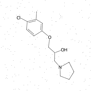 Cc1cc(OCC(O)CN2CCCC2)ccc1Cl